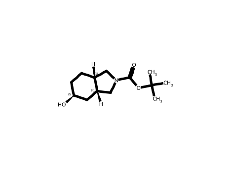 CC(C)(C)OC(=O)N1C[C@H]2CC[C@H](O)C[C@H]2C1